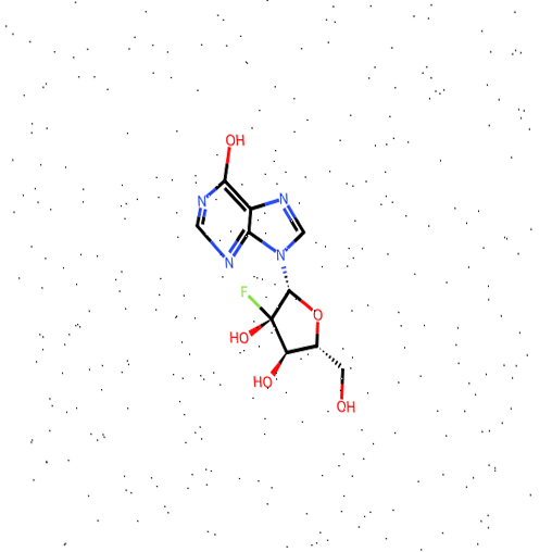 OC[C@H]1O[C@@H](n2cnc3c(O)ncnc32)[C@@](O)(F)[C@@H]1O